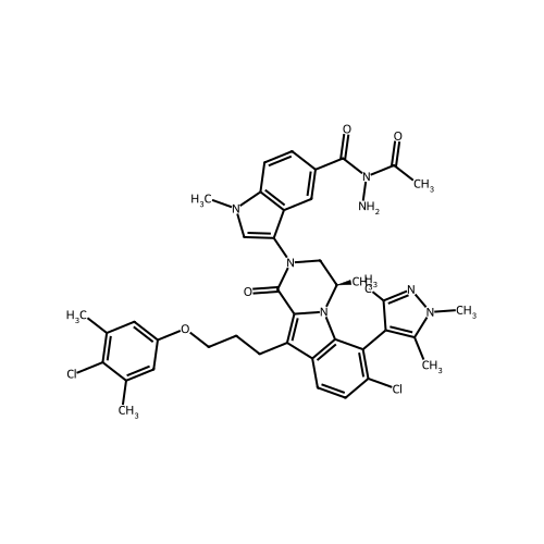 CC(=O)N(N)C(=O)c1ccc2c(c1)c(N1C[C@@H](C)n3c(c(CCCOc4cc(C)c(Cl)c(C)c4)c4ccc(Cl)c(-c5c(C)nn(C)c5C)c43)C1=O)cn2C